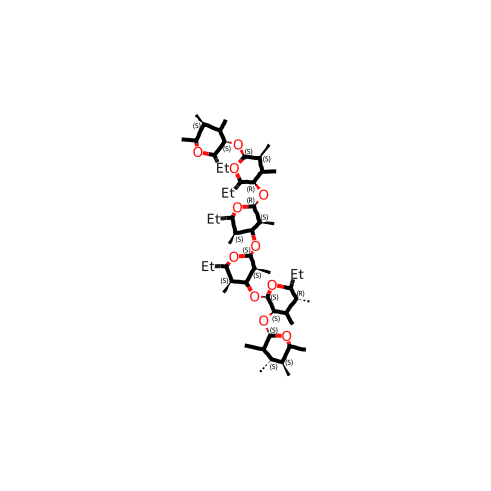 CCC1O[C@H](O[C@H]2C(CC)O[C@@H](O[C@@H]3C(CC)OC(C)[C@@H](C)C3C)[C@@H](C)C2C)[C@@H](C)C(O[C@@H]2OC(CC)[C@H](C)C(O[C@@H]3OC(CC)[C@H](C)C(C)[C@@H]3O[C@@H]3OC(C)[C@@H](C)[C@H](C)C3C)[C@@H]2C)[C@H]1C